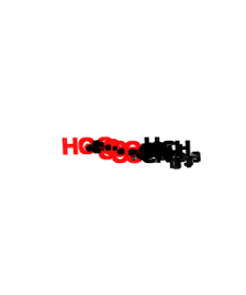 CC(C)CCC[C@@H](C)[C@H]1CC[C@H]2[C@@H]3CC=C4C[C@@H](OC(=O)CCC(=O)OCOC(=O)Oc5ccc(CO)cc5)CC[C@]4(C)C3CC[C@]12C